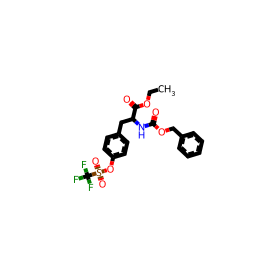 CCOC(=O)C(Cc1ccc(OS(=O)(=O)C(F)(F)F)cc1)NC(=O)OCc1ccccc1